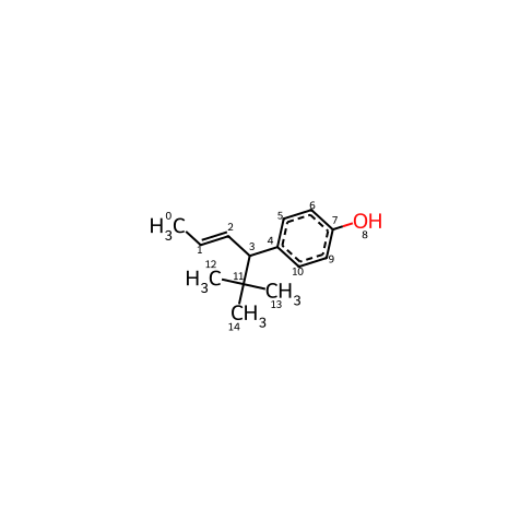 CC=CC(c1ccc(O)cc1)C(C)(C)C